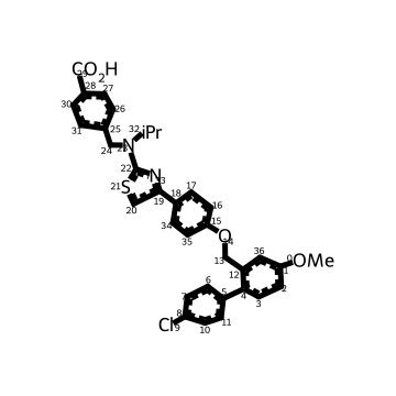 COc1ccc(-c2ccc(Cl)cc2)c(COc2ccc(-c3csc(N(Cc4ccc(C(=O)O)cc4)C(C)C)n3)cc2)c1